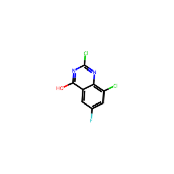 Oc1nc(Cl)nc2c(Cl)cc(F)cc12